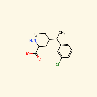 CCC(CC(N)C(=O)O)C(C)c1cccc(Cl)c1